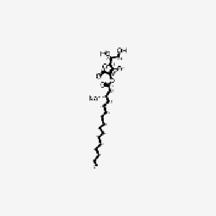 CCCCCCCCCCCCCCCC(=O)OC1=C([O-])[C@@H]([C@@H](O)CO)OC1=O.[Na+]